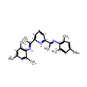 CC(=Nc1c(C)cc(C(C)(C)C)cc1C)c1cccc(C(C)=Nc2c(C)cc(C(C)(C)C)cc2C)n1